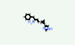 N[C@H](C=C[C@H]1C[C@H]1c1c[nH]cn1)CC1CCCCC1